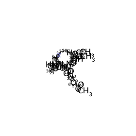 COC(=O)c1ccc2c(c1)CN(C(=O)O[C@@H]1C[C@H]3C(=O)N[C@]4(C(=O)NS(=O)(=O)C5CC5)C[C@H]4/C=C\CCCCC[C@H](NC(=O)OC(C)(C)C)C(=O)N3C1)C2